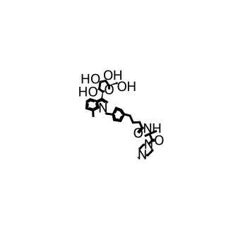 Cc1cccc2c([C@@H]3O[C@H](CO)[C@@H](O)[C@H](O)[C@H]3O)cn(Cc3ccc(CCCC(=O)NC(C)(C)C(=O)N4CCN(C)CC4)cc3)c12